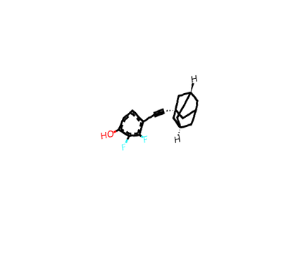 Oc1ccc(C#C[C@]23CC4C[C@H](C[C@@H](C4)C2)C3)c(F)c1F